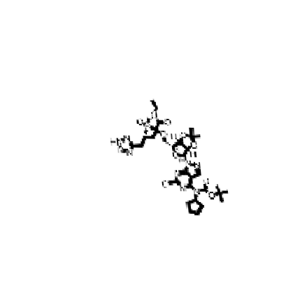 CCOC(=O)C(CCCc1nn[nH]n1)(OC[C@H]1O[C@@H](n2ncc3c(N(C(=O)OC(C)(C)C)C4CCCC4)nc(Cl)nc32)[C@@H]2OC(C)(C)O[C@@H]21)P(C)(C)=O